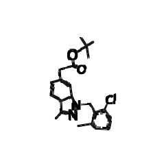 CC1=NN(Cc2c(C)cccc2Cl)C2C=C(CC(=O)OC(C)(C)C)C=CC12